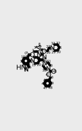 C[C@H](OCC[Si](C)(C)C)c1ccc2[nH]ncc2c1N1CCc2c(nc(OCCN3CCCCC3)nc2N2CCN(C(=O)OCc3ccccc3)CC2)C1